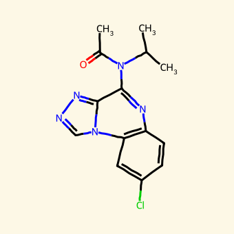 CC(=O)N(c1nc2ccc(Cl)cc2n2cnnc12)C(C)C